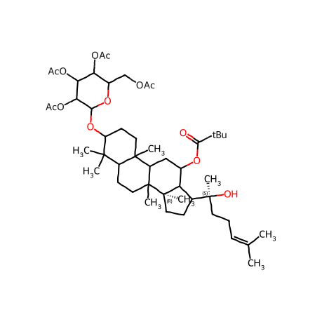 CC(=O)OCC1OC(OC2CCC3(C)C(CCC4(C)C3CC(OC(=O)C(C)(C)C)C3C([C@@](C)(O)CCC=C(C)C)CC[C@]34C)C2(C)C)C(OC(C)=O)C(OC(C)=O)C1OC(C)=O